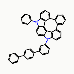 c1ccc(-c2ccc(-c3cccc(-n4c5cccc6c7ccccc7c7cccc8c7c7c(c65)c4ccc7n8-c4ccccc4)c3)cc2)cc1